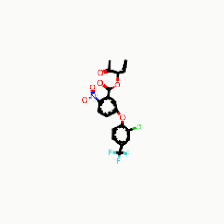 C=CC(OC(=O)c1cc(Oc2ccc(C(F)(F)F)cc2Cl)ccc1[N+](=O)[O-])C(C)=O